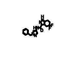 O=C(Nc1cnn(Cc2ccccc2)c1)c1n[nH]c2c1CC(F)(F)CC2